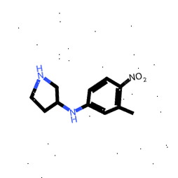 Cc1cc(NC2CCNC2)ccc1[N+](=O)[O-]